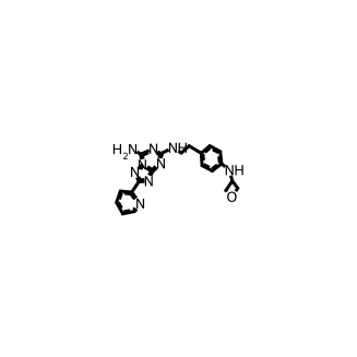 Nc1nc(NCCc2ccc(NC3COC3)cc2)nc2nc(-c3ccccn3)nn12